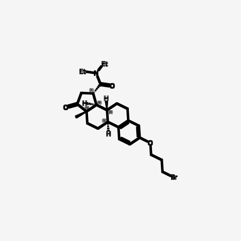 CCN(CC)C(=O)[C@H]1CC(=O)[C@@]2(C)CC[C@@H]3c4ccc(OCCCBr)cc4CC[C@H]3[C@H]12